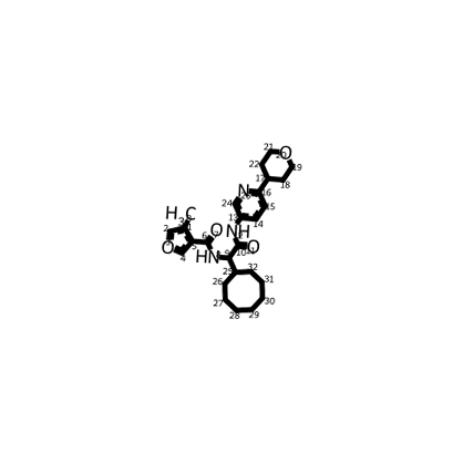 Cc1cocc1C(=O)NC(C(=O)Nc1ccc(C2CCOCC2)nc1)C1CCCCCCC1